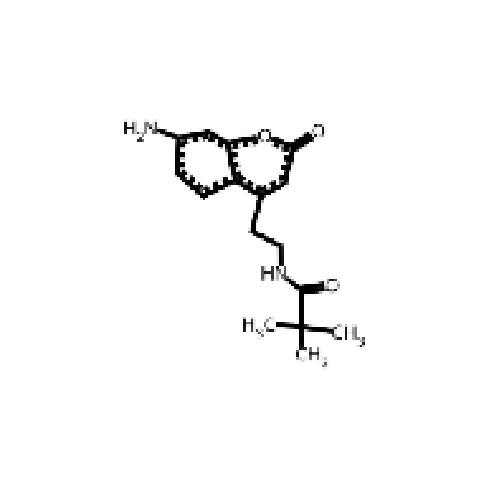 CC(C)(C)C(=O)NCCc1cc(=O)oc2cc(N)ccc12